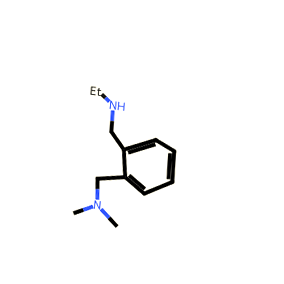 CCNCc1ccccc1CN(C)C